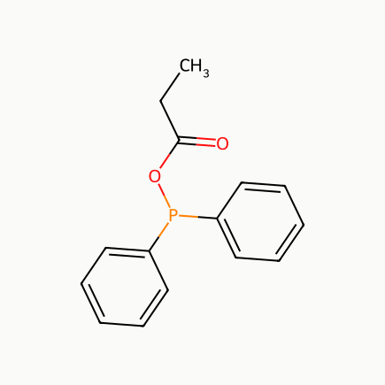 CCC(=O)OP(c1ccccc1)c1ccccc1